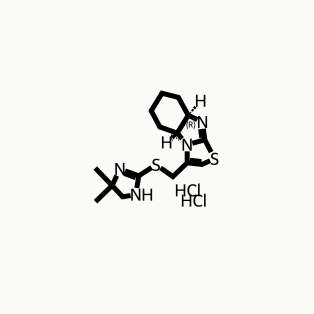 CC1(C)CNC(SCC2=CSC3=N[C@@H]4CCCC[C@H]4N23)=N1.Cl.Cl